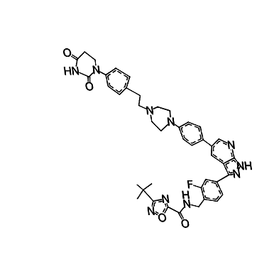 CC(C)(C)c1noc(C(=O)NCc2ccc(-c3n[nH]c4ncc(-c5ccc(N6CCN(CCc7ccc(N8CCC(=O)NC8=O)cc7)CC6)cc5)cc34)cc2F)n1